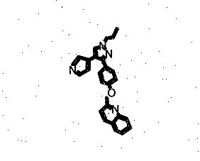 CCCn1cc(-c2ccncc2)c(-c2ccc(OCc3ccc4ccccc4n3)cc2)n1